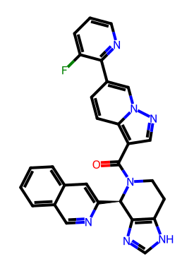 O=C(c1cnn2cc(-c3ncccc3F)ccc12)N1CCc2[nH]cnc2[C@H]1c1cc2ccccc2cn1